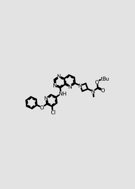 CN(C(=O)OC(C)(C)C)C1CN(c2ccc3ncnc(Nc4cnc(Oc5ccccc5)c(Cl)c4)c3n2)C1